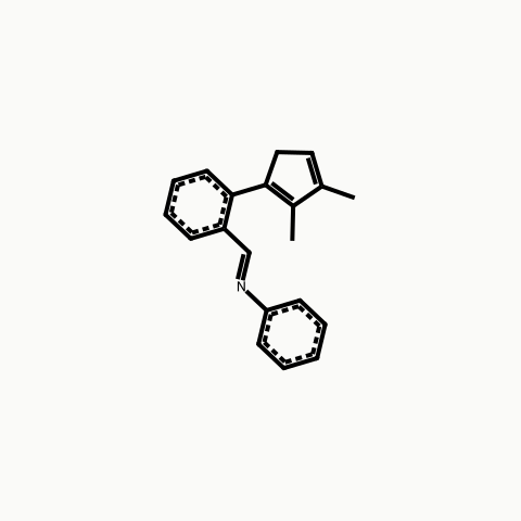 CC1=CCC(c2ccccc2C=Nc2ccccc2)=C1C